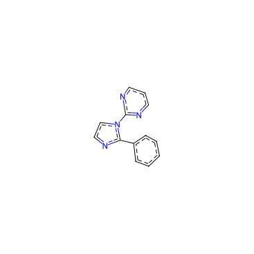 c1ccc(-c2nccn2-c2ncccn2)cc1